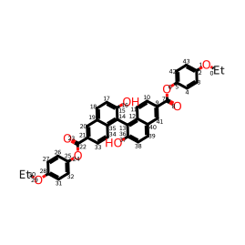 CCOc1ccc(OC(=O)c2ccc3c(-c4c(O)ccc5cc(C(=O)Oc6ccc(OCC)cc6)ccc45)c(O)ccc3c2)cc1